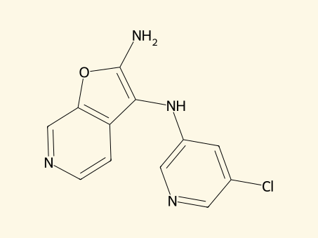 Nc1oc2cnccc2c1Nc1cncc(Cl)c1